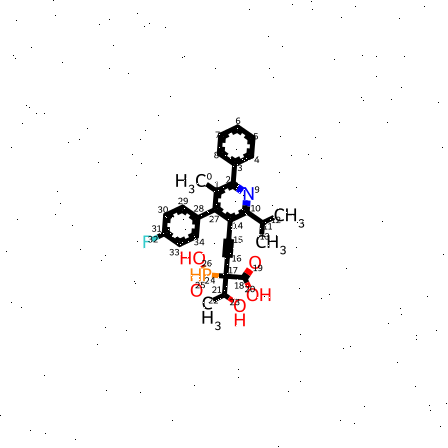 Cc1c(-c2ccccc2)nc(C(C)C)c(C#CC(C(=O)O)(C(C)O)[PH](=O)O)c1-c1ccc(F)cc1